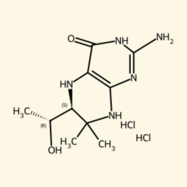 C[C@@H](O)[C@H]1Nc2c(nc(N)[nH]c2=O)NC1(C)C.Cl.Cl